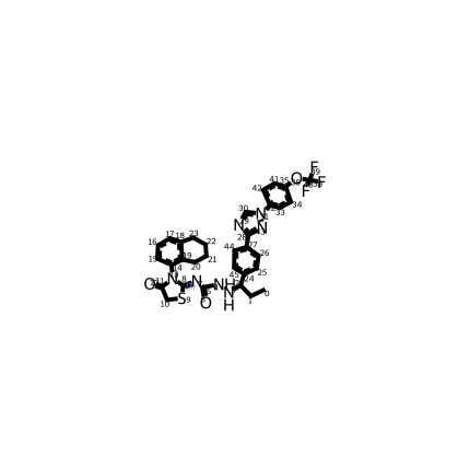 CCC(NNC(=O)/N=C1\SCC(=O)N1c1cccc2c1CCCC2)c1ccc(-c2ncn(-c3ccc(OC(F)(F)F)cc3)n2)cc1